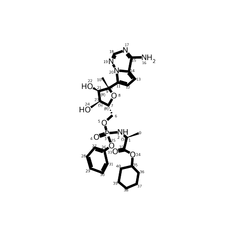 C[C@H](NP(=O)(OC[C@H]1O[C@@](C)(c2ccc3c(N)ncnn23)[C@H](O)[C@@H]1O)Oc1ccccc1)C(=O)OC1CCCCC1